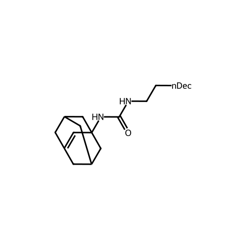 CCCCCCCCCCCCNC(=O)NC12C=C3CC(CC(C3)C1)C2